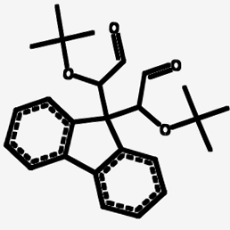 CC(C)(C)OC(C=O)C1(C(C=O)OC(C)(C)C)c2ccccc2-c2ccccc21